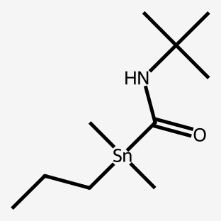 CC[CH2][Sn]([CH3])([CH3])[C](=O)NC(C)(C)C